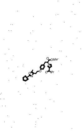 COC(=O)C(Cc1ccc(OCCc2nc(-c3ccccc3)oc2C)cc1)n1ccc(C(=O)C(C)C)c1